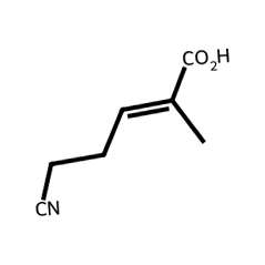 CC(=CCCC#N)C(=O)O